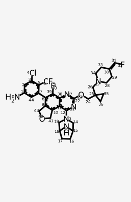 Nc1cc(Cl)c(C(F)(F)F)c(-c2c3c(c4c(N5CC6CCC(C5)N6)nc(OCC5(CN6CCC(=CF)CC6)CC5)nc4c2F)COC3)c1